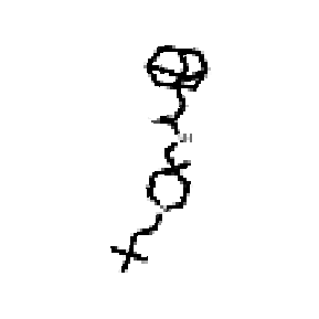 CC(C)(C)CCN1CCC(F)(CNC(=O)CC23CC4CC(CC(C4)C2)C3)CC1